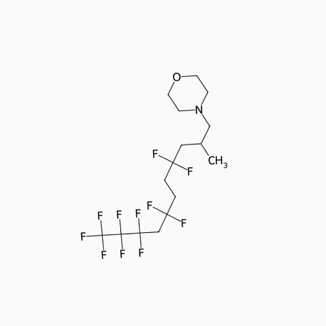 CC(CN1CCOCC1)CC(F)(F)CCC(F)(F)CC(F)(F)C(F)(F)C(F)(F)F